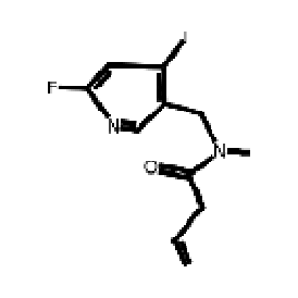 C=CCC(=O)N(C)Cc1cnc(F)cc1I